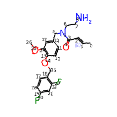 C/C=C/C(=O)N(CCN)Cc1ccc(OCc2ccc(F)cc2F)c(OC)c1